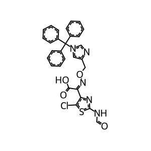 O=CNc1nc(/C(=N/OCc2cn(C(c3ccccc3)(c3ccccc3)c3ccccc3)cn2)C(=O)O)c(Cl)s1